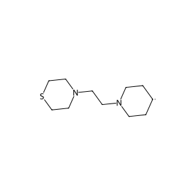 [CH]1CCN(CCN2CCSCC2)CC1